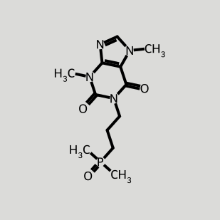 Cn1cnc2c1c(=O)n(CCCP(C)(C)=O)c(=O)n2C